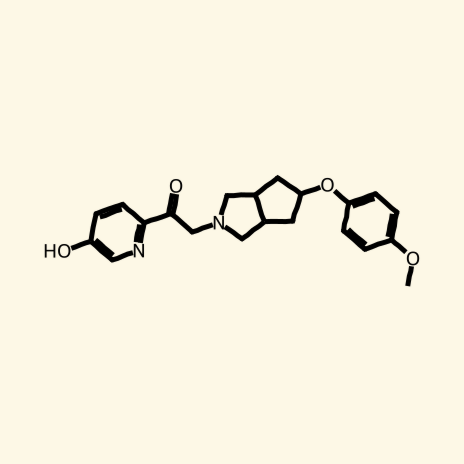 COc1ccc(OC2CC3CN(CC(=O)c4ccc(O)cn4)CC3C2)cc1